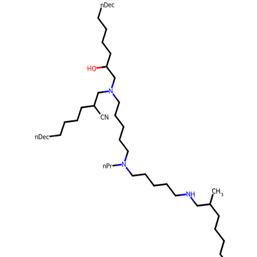 CCCCCCCCCCCCCCC(C)CNCCCCCN(CCC)CCCCCN(CC(O)CCCCCCCCCCCCCC)CC(C#N)CCCCCCCCCCCCCC